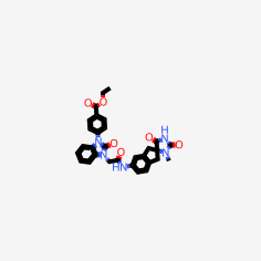 CCOC(=O)c1ccc(-n2c(=O)n(CC(=O)Nc3ccc4c(c3)CC3(C4)C(=O)NC(=O)N3C)c3ccccc32)cc1